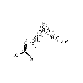 O.O.O.O.O.O.O.O=S([O-])[O-].[Zn+2]